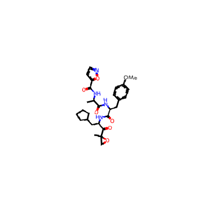 COc1ccc(CC(NC(=O)C(C)NC(=O)c2ccno2)C(=O)NC(CC2CCCC2)C(=O)C2(C)CO2)cc1